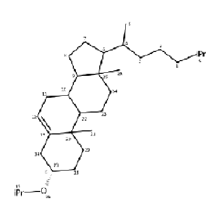 CC(C)CCCC(C)C1CCC2C3CC=C4C[C@@H](OC(C)C)CCC4(C)C3CCC12C